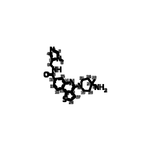 Cn1cncc1CNC(=O)c1ccc2c(c1)nc(N1CCC(C)(N)CC1)c1ccsc12